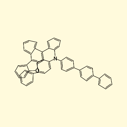 c1ccc(-c2ccc(-c3ccc(N(c4ccc(-c5ccccc5)cc4)c4ccccc4-c4cc5oc6ccccc6c5c5ccccc45)cc3)cc2)cc1